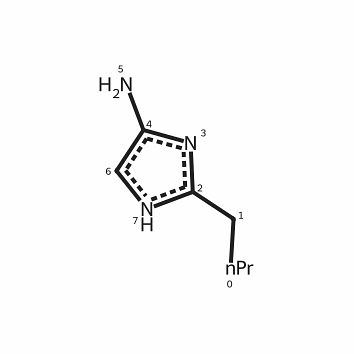 CCCCc1nc(N)c[nH]1